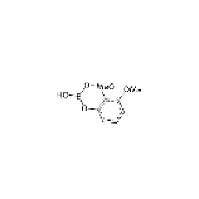 COc1cccc(OB(O)O)c1OC